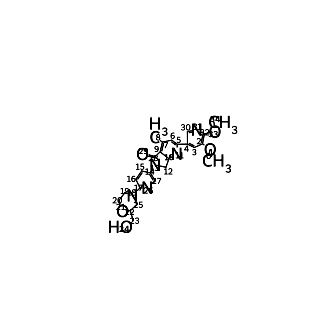 COc1cc(-c2cc(C)c3c(n2)CN(c2ccc(N4CCOC(CO)C4)nc2)C3=O)cnc1OC